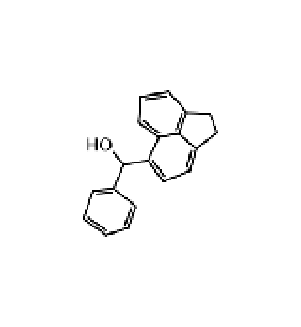 OC(c1ccccc1)c1ccc2c3c(cccc13)CC2